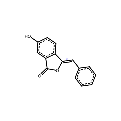 O=C1O/C(=C\c2ccccc2)c2ccc(O)cc21